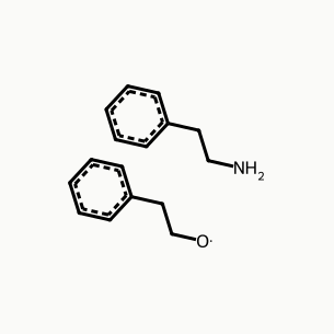 NCCc1ccccc1.[O]CCc1ccccc1